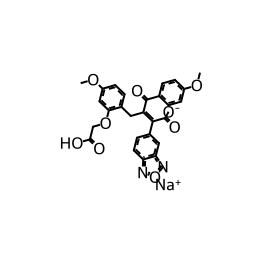 COc1ccc(C(=O)C(Cc2ccc(OC)cc2OCC(=O)O)=C(C(=O)[O-])c2ccc3nonc3c2)cc1.[Na+]